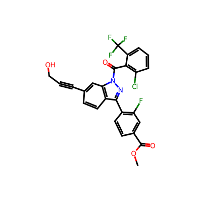 COC(=O)c1ccc(-c2nn(C(=O)c3c(Cl)cccc3C(F)(F)F)c3cc(C#CCO)ccc23)c(F)c1